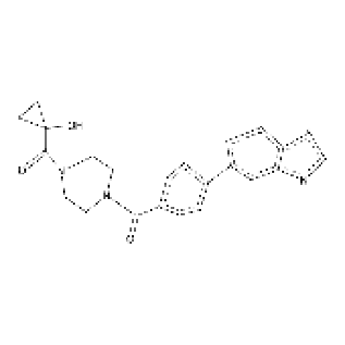 O=C(c1ccc(-c2ccc3scnc3c2)cc1)N1CCN(C(=O)C2(O)CC2)CC1